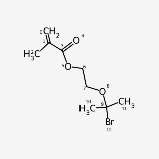 C=C(C)C(=O)OCCOC(C)(C)Br